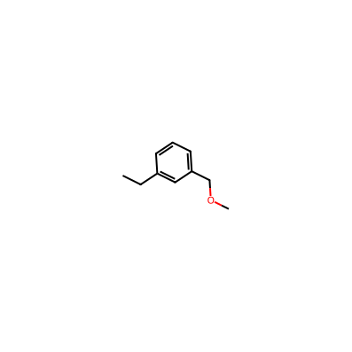 CCc1cccc(COC)c1